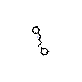 [c]1cccc(OC/C=C/c2ccccc2)c1